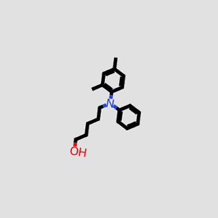 Cc1ccc(N(CCCCCO)c2ccccc2)c(C)c1